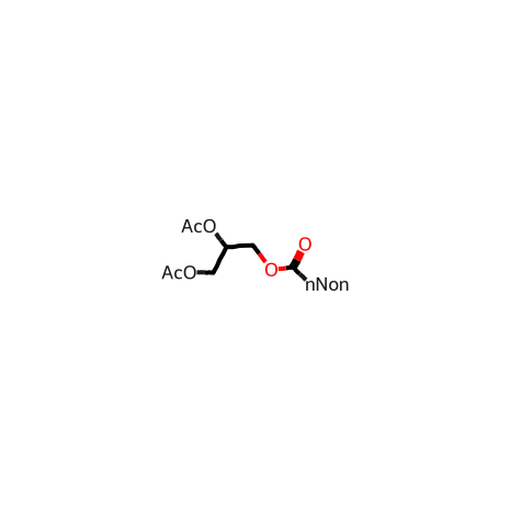 CCCCCCCCCC(=O)OCC(COC(C)=O)OC(C)=O